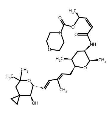 CC(/C=C/[C@H]1OC(C)(C)CC2(CC2)[C@@H]1O)=C\C[C@@H]1O[C@H](C)[C@H](NC(=O)/C=C\[C@H](C)OC(=O)N2CCOCC2)C[C@@H]1C